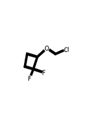 FC1(F)CCC1OCCl